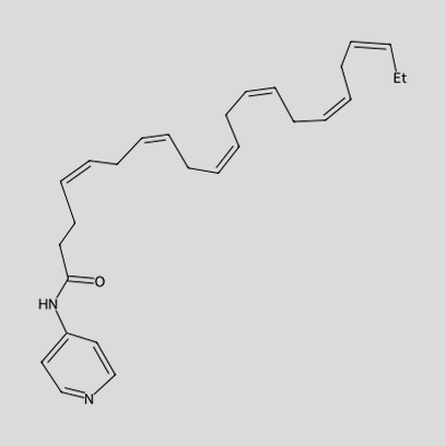 CC/C=C\C/C=C\C/C=C\C/C=C\C/C=C\C/C=C\CCC(=O)Nc1ccncc1